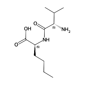 CCCC[C@H](NC(=O)[C@@H](N)C(C)C)C(=O)O